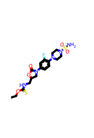 CCOC(=S)NCC1CN(c2ccc(N3CCN(S(N)(=O)=O)CC3)c(F)c2)C(=O)O1